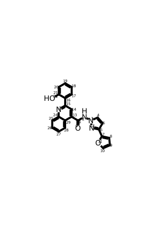 O=C(Nn1ccc(-c2ccco2)n1)c1cc(-c2ccccc2O)nc2ccccc12